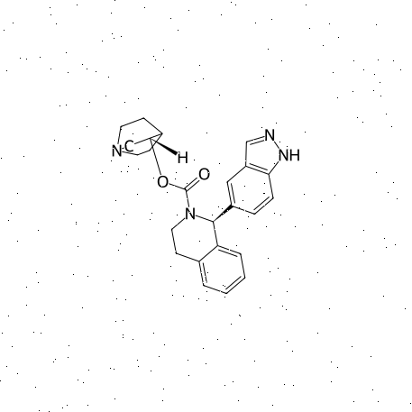 O=C(O[C@@H]1CN2CCC1CC2)N1CCc2ccccc2[C@@H]1c1ccc2[nH]ncc2c1